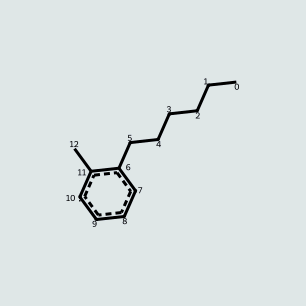 CCCCCCc1ccc[c]c1C